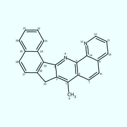 Cc1c2c(nc3c1ccc1cccnc13)-c1c(ccc3ccccc13)C2